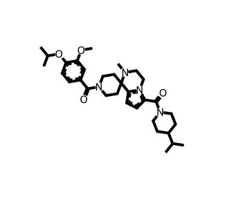 COc1cc(C(=O)N2CCC3(CC2)c2ccc(C(=O)N4CCC(C(C)C)CC4)n2CCN3C)ccc1OC(C)C